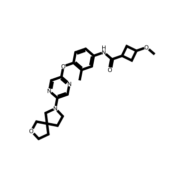 COC1CC(C(=O)Nc2ccc(Oc3cnc(N4CCC5(CCOC5)C4)cn3)c(C)c2)C1